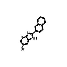 Brc1cnc2nc(-c3ccc4ccccc4c3)[nH]c2c1